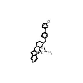 COC[C@@H]1C(C=O)N(Cc2cc3cnccc3[nH]2)CCN1Cc1ccc(-c2ccc(Cl)s2)cc1